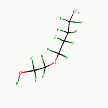 FOC(F)(F)C(F)(F)OC(F)(F)C(F)(F)C(F)(F)C(F)(F)C(F)(F)F